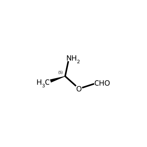 C[C@@H](N)OC=O